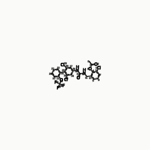 CC(=O)Oc1c(Cl)cccc1CNC(=O)Nc1cc(Cl)c(-c2ccccc2OC(F)(F)F)c(Cl)c1